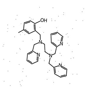 Cc1ccc(O)c(CN(CCN(Cc2ccccn2)Cc2ccccn2)Cc2ccccn2)c1